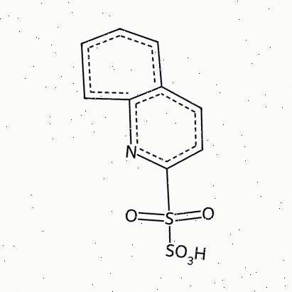 O=S(=O)(O)S(=O)(=O)c1ccc2ccccc2n1